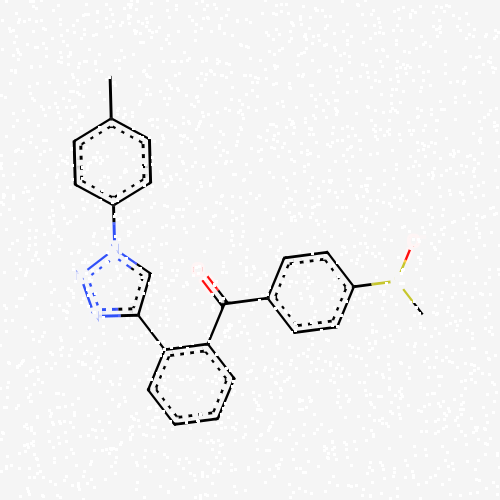 Cc1ccc(-n2cc(-c3ccccc3C(=O)c3ccc([S+](C)[O-])cc3)nn2)cc1